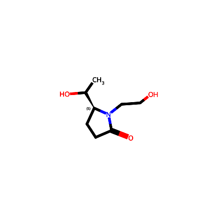 CC(O)[C@@H]1CCC(=O)N1CCO